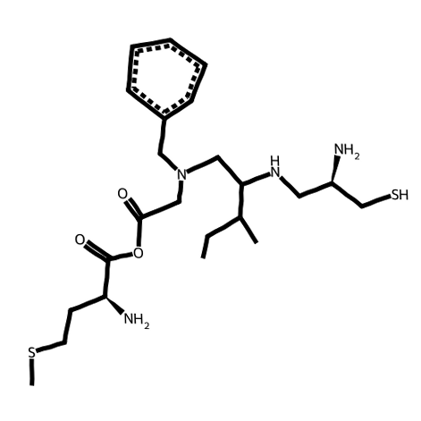 CCC(C)C(CN(CC(=O)OC(=O)[C@@H](N)CCSC)Cc1ccccc1)NC[C@@H](N)CS